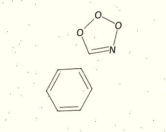 C1=NOOO1.c1ccccc1